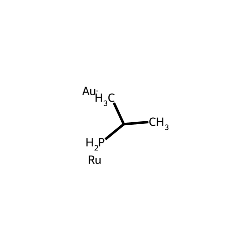 CC(C)P.[Au].[Ru]